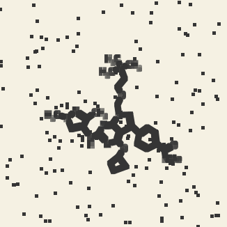 CNC(=O)c1ccc(-c2cn(COCC[Si](C)(C)C)c3nc(Nc4cn(C)nc4C)nc(OC4CCC4)c23)cc1